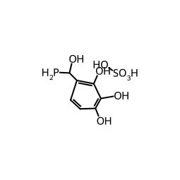 O=S(=O)(O)O.Oc1ccc(C(O)P)c(O)c1O